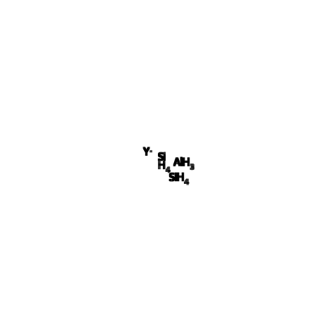 [AlH3].[SiH4].[SiH4].[Y]